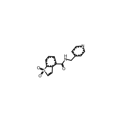 O=C(NCc1ccncc1)c1cccc2c1C=CS2(=O)=O